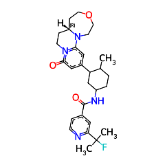 CC1CCC(NC(=O)c2ccnc(C(C)(C)F)c2)CC1c1cc2n(c(=O)c1)CC[C@@H]1CCOCCN21